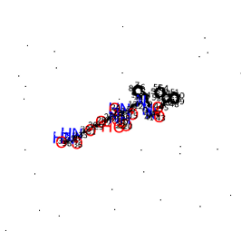 CN(Cc1cc2ccccc2n1CCC(=O)N[C@@H](CS(=O)(=O)O)C(=O)NCCOCCOCCNC(=O)NC=O)N(C)C(=O)OCC1c2ccccc2-c2ccccc21